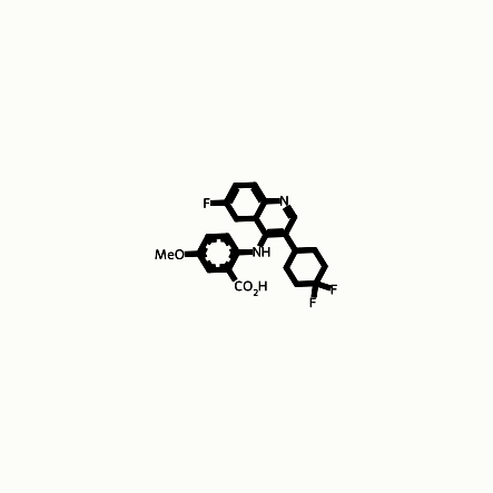 COc1ccc(NC2=C(C3CCC(F)(F)CC3)C=NC3=CC=C(F)CC32)c(C(=O)O)c1